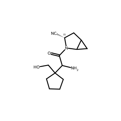 N#C[C@@H]1CC2CC2N1C(=O)C(N)C1(CO)CCCC1